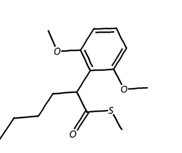 CCCCC(C(=O)SC)c1c(OC)cccc1OC